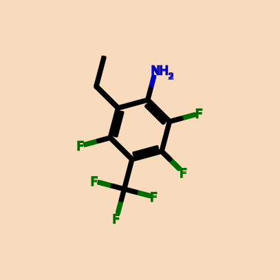 CCc1c(N)c(F)c(F)c(C(F)(F)F)c1F